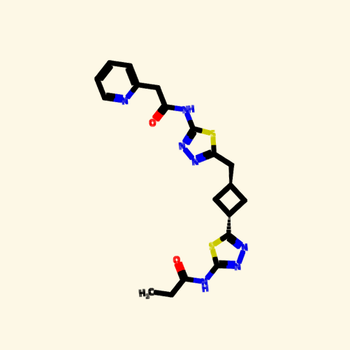 CCC(=O)Nc1nnc([C@H]2C[C@H](Cc3nnc(NC(=O)Cc4ccccn4)s3)C2)s1